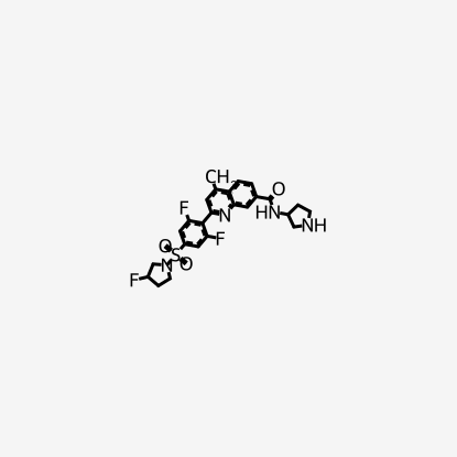 Cc1cc(-c2c(F)cc(S(=O)(=O)N3CCC(F)C3)cc2F)nc2cc(C(=O)NC3CCNC3)ccc12